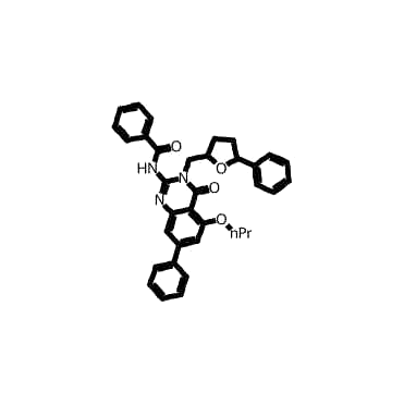 CCCOc1cc(-c2ccccc2)cc2nc(NC(=O)c3ccccc3)n(CC3CCC(c4ccccc4)O3)c(=O)c12